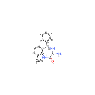 COc1cccc2c1NC(=O)[C@@H](N)NC2c1ccccc1